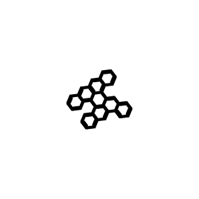 c1ccc2c(c1)cc1c3c4ccccc4cc4cc5ccccc5c(c43)c3c4ccccc4cc2c13